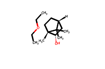 CC1(C)[C@@H]2CC[C@@]1(C)[C@@H](O)C2.CCOCC